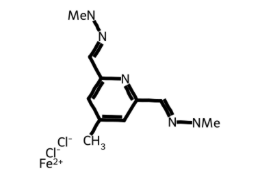 CNN=Cc1cc(C)cc(C=NNC)n1.[Cl-].[Cl-].[Fe+2]